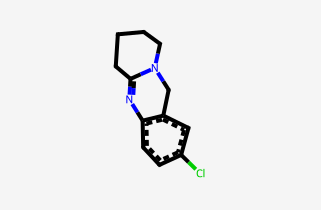 Clc1ccc2c(c1)CN1CCCCC1=N2